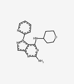 Nc1nc(NC2CCOCC2)c2c(cnn2-c2ccccn2)n1